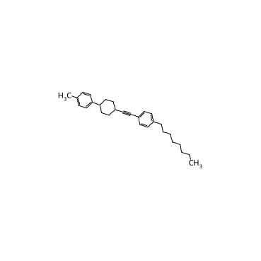 CCCCCCCCc1ccc(C#CC2CCC(c3ccc(C)cc3)CC2)cc1